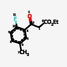 CCOC(=O)CC(=O)c1cc(C)ccc1F